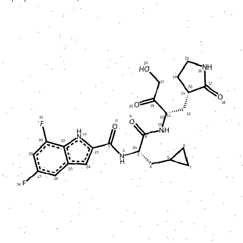 O=C(N[C@@H](CC1CC1)C(=O)N[C@@H](C[C@@H]1CCNC1=O)C(=O)CO)c1cc2cc(F)cc(F)c2[nH]1